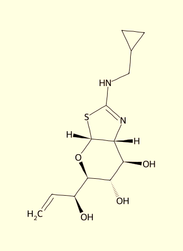 C=C[C@H](O)[C@H]1O[C@@H]2SC(NCC3CC3)=N[C@@H]2[C@@H](O)[C@@H]1O